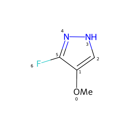 COc1c[nH]nc1F